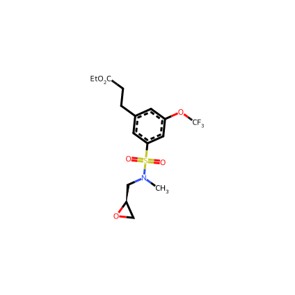 CCOC(=O)CCc1cc(OC(F)(F)F)cc(S(=O)(=O)N(C)C[C@H]2CO2)c1